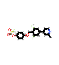 Cc1cc(-c2cc(F)c(COc3ccc(OS(=O)(=O)F)cc3)c(F)c2)ccn1